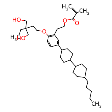 C=C(C)C(=O)OCCc1cc(C2CCC(C3CCC(CCCCC)CC3)CC2)ccc1OCCC(CC)(CO)CO